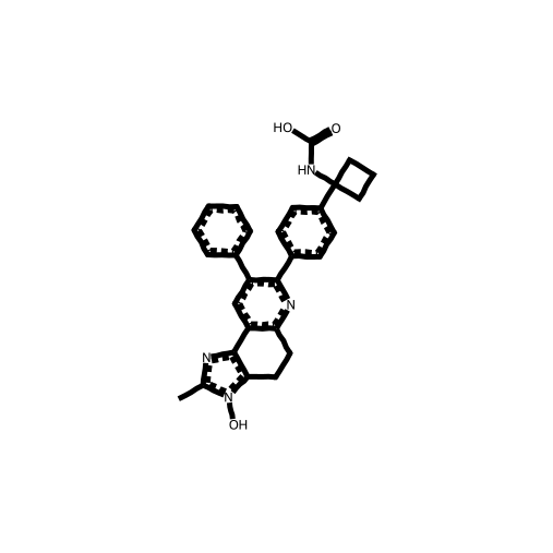 Cc1nc2c(n1O)CCc1nc(-c3ccc(C4(NC(=O)O)CCC4)cc3)c(-c3ccccc3)cc1-2